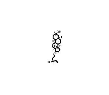 C=C[C@@](C)(O)CCC[C@H]1CC[C@H]2[C@@H]3CC[C@H]4C[C@@](C)(O)CC[C@]4(C)[C@H]3CC[C@]12C